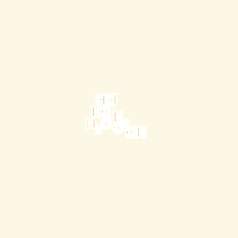 Cl.Cl.Cl.O.O